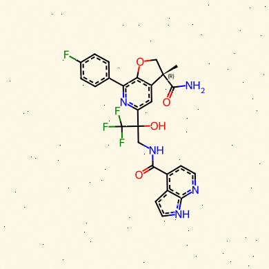 C[C@]1(C(N)=O)COc2c1cc(C(O)(CNC(=O)c1ccnc3[nH]ccc13)C(F)(F)F)nc2-c1ccc(F)cc1